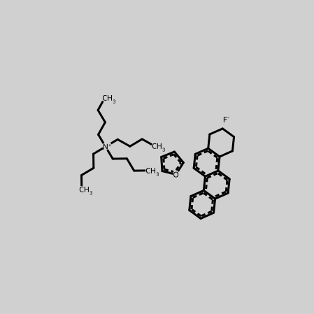 CCCC[N+](CCCC)(CCCC)CCCC.[F-].c1ccc2c(c1)ccc1c3c(ccc12)CCCC3.c1ccoc1